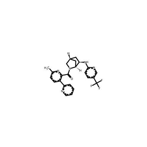 Cc1ccc(-c2ccccn2)c(C(=O)N2C[C@@H]3C[C@@H](Nc4ccc(C(F)(F)F)cn4)[C@@H]2C3)n1